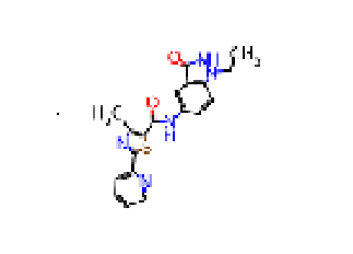 CCn1[nH]c(=O)c2cc(NC(=O)c3sc(-c4ccccn4)nc3C)ccc21